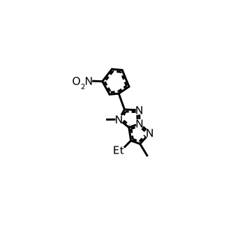 CCc1c(C)nn2nc(-c3cccc([N+](=O)[O-])c3)n(C)c12